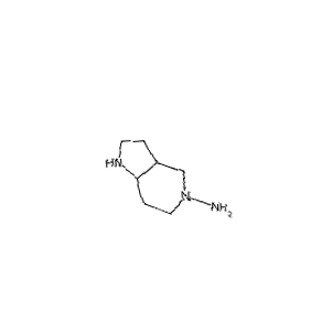 NN1CCC2NCCC2C1